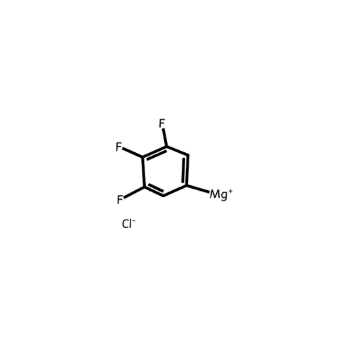 Fc1c[c]([Mg+])cc(F)c1F.[Cl-]